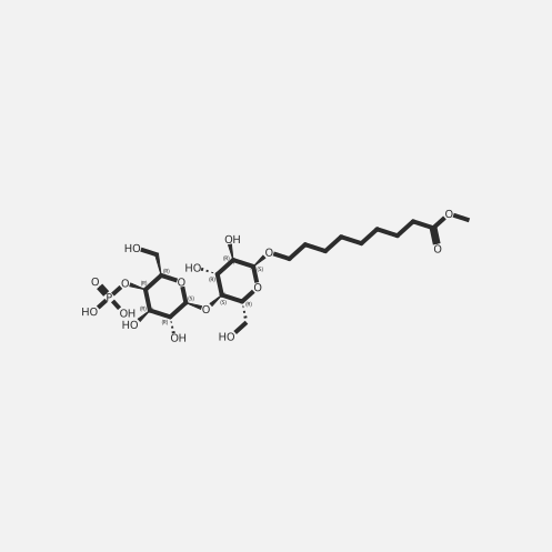 COC(=O)CCCCCCCCO[C@H]1O[C@H](CO)[C@@H](O[C@@H]2O[C@H](CO)[C@H](OP(=O)(O)O)[C@H](O)[C@H]2O)[C@H](O)[C@H]1O